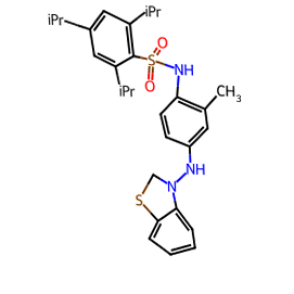 Cc1cc(NN2CSc3ccccc32)ccc1NS(=O)(=O)c1c(C(C)C)cc(C(C)C)cc1C(C)C